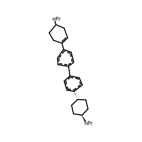 CCCC1CC=C(c2ccc(-c3ccc([C@H]4CC[C@H](CCC)CC4)cc3)cc2)CC1